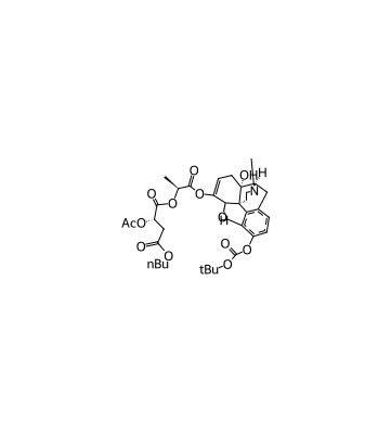 CCCCOC(=O)C[C@H](OC(C)=O)C(=O)O[C@@H](C)C(=O)OC1=CC[C@@]2(O)[C@H]3Cc4ccc(OC(=O)OC(C)(C)C)c5c4[C@@]2(CCN3C)[C@H]1O5